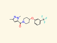 Cc1cc(C(=O)N2CCC(Oc3cccc(C(F)(F)F)c3)CC2)n(C)n1